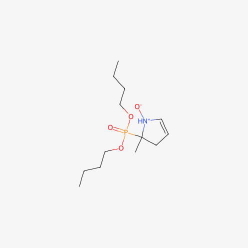 CCCCOP(=O)(OCCCC)C1(C)CC=C[NH+]1[O-]